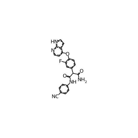 N#Cc1ccc(NC(=O)C(C(N)=O)c2ccc(Oc3ccnc4[nH]ccc34)c(F)c2)cc1